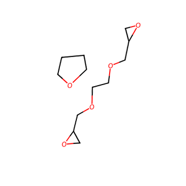 C(COCC1CO1)OCC1CO1.C1CCOC1